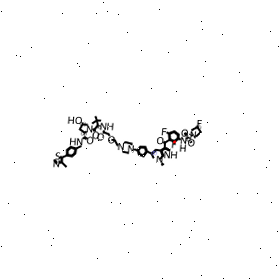 C=Nc1[nH]cc(C(=O)c2c(F)ccc(NS(=O)(=O)N3CC[C@@H](F)C3)c2F)c1/C=C(\C)c1ccc(N2CCN(CCOCC(=O)N[C@H](C(=O)N3C[C@H](O)C[C@H]3C(=O)NCc3ccc(-c4scnc4C)cc3)C(C)(C)C)CC2)cc1